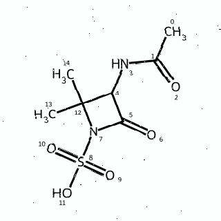 CC(=O)NC1C(=O)N(S(=O)(=O)O)C1(C)C